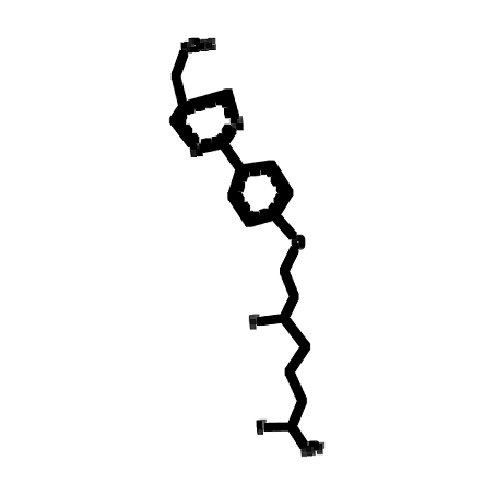 CCCCCCCCCCCc1cnc(-c2ccc(OCCC(F)CCCC(F)CCC)cc2)nc1